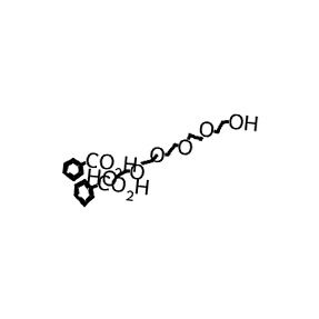 O=C(O)c1ccccc1.O=C(O)c1ccccc1.OCCOCCOCCOCCOCCO